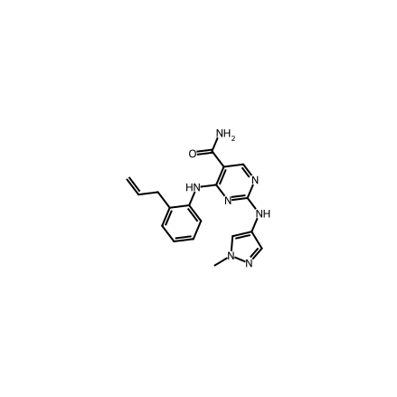 C=CCc1ccccc1Nc1nc(Nc2cnn(C)c2)ncc1C(N)=O